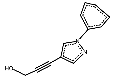 OCC#Cc1cnn(-c2ccccc2)c1